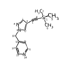 C[Si](C)(C)C#Cc1cnn(Cc2ccncc2)c1